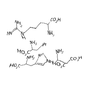 CC(C)CC(N)C(=O)O.N=C(N)NCCCC(N)C(=O)O.NC(CC(=O)O)C(=O)O.NC(Cc1c[nH]cn1)C(=O)O